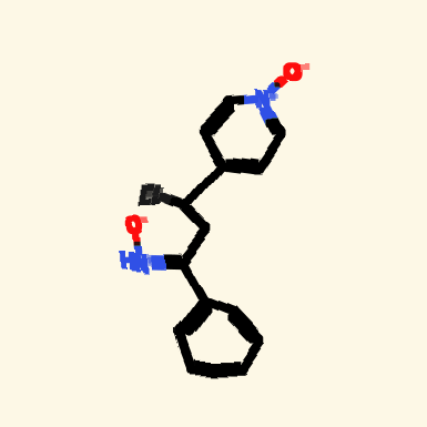 CCC(CC(=[NH+][O-])c1ccccc1)c1cc[n+]([O-])cc1